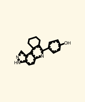 Oc1ccc(-c2nc3ccc4[nH]ncc4c3c3c2CCCC3)cc1